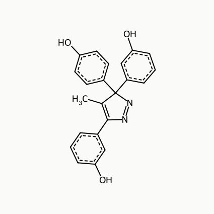 CC1=C(c2cccc(O)c2)N=NC1(c1ccc(O)cc1)c1cccc(O)c1